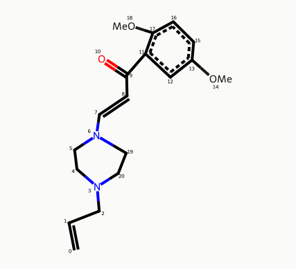 C=CCN1CCN(C=CC(=O)c2cc(OC)ccc2OC)CC1